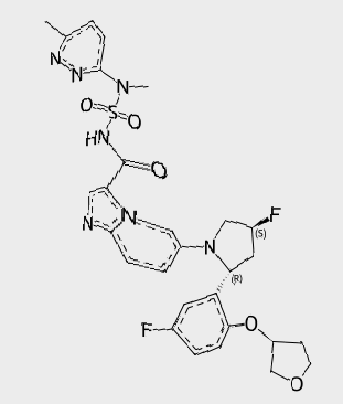 Cc1ccc(N(C)S(=O)(=O)NC(=O)c2cnc3ccc(N4C[C@@H](F)C[C@@H]4c4cc(F)ccc4OC4CCOC4)cn23)nn1